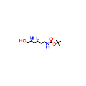 CC(C)(C)OC(=O)NCCCCC(N)CO